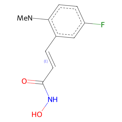 CNc1ccc(F)cc1/C=C/C(=O)NO